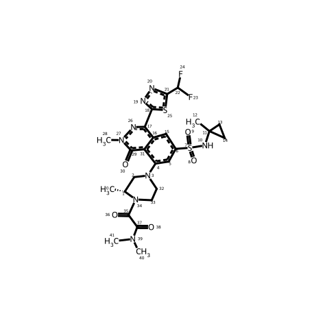 C[C@@H]1CN(c2cc(S(=O)(=O)NC3(C)CC3)cc3c(-c4nnc(C(F)F)s4)nn(C)c(=O)c23)CCN1C(=O)C(=O)N(C)C